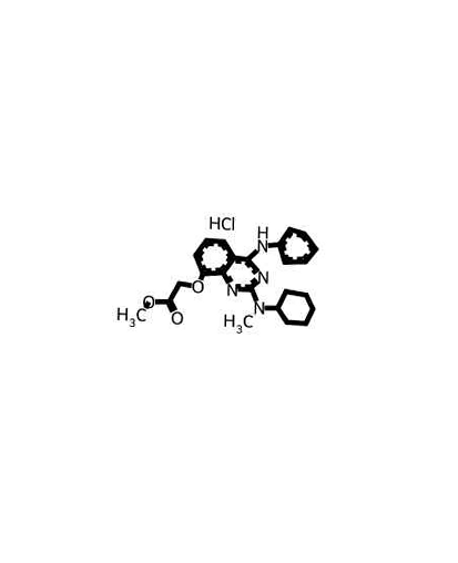 COC(=O)COc1cccc2c(Nc3ccccc3)nc(N(C)C3CCCCC3)nc12.Cl